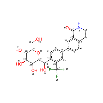 O=C1NCCc2ccc(-c3ccc([C@@H](O)[C@H]4OC(CO)[C@@H](O)[C@H](O)C4O)c(C(F)(F)F)c3)cc21